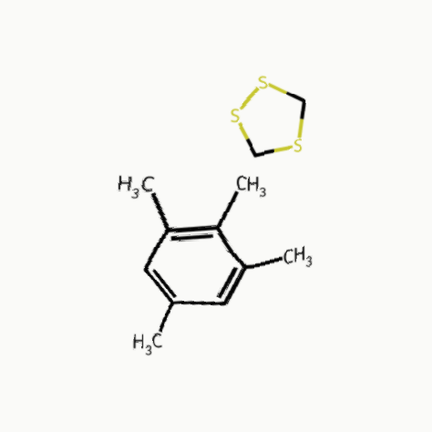 C1SCSS1.Cc1cc(C)c(C)c(C)c1